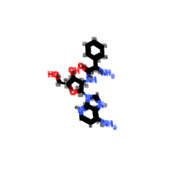 Nc1ccnc2c1ncn2[C@@H]1O[C@H](CO)C(O)[C@@H]1NC(=O)C(N)c1ccccc1